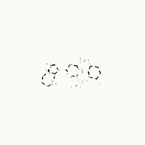 CC(Nc1cc(-c2cnn3cccnc23)nc(S(C)(=O)=O)n1)c1ccc(F)cc1F